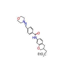 CCOC(=O)CC1COc2cc(NC(=O)c3ccc(C=NN4CCOCC4)cc3)ccc2C1